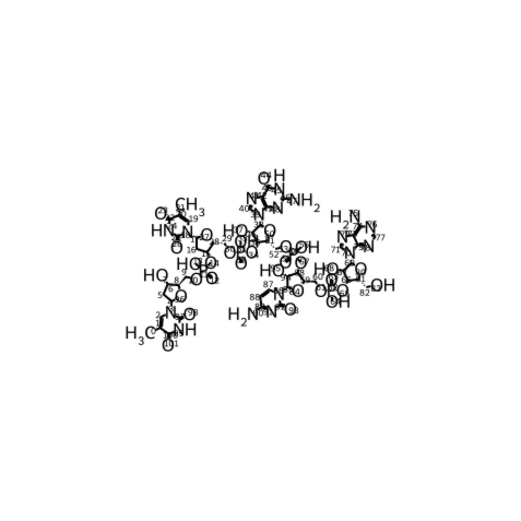 Cc1cn([C@H]2CC(O)[C@@H](COP(=O)(O)OC3C[C@H](n4cc(C)c(=O)[nH]c4=O)O[C@@H]3COP(=O)(O)O[C@@H]3[C@H](O)[C@H](n4cnc5c(=O)[nH]c(N)nc54)O[C@@H]3COP(=O)(O)OC3[C@@H](COP(=O)(O)OC4C(O)[C@H](n5cnc6c(N)ncnc65)O[C@@H]4CO)O[C@@H](n4ccc(N)nc4=O)[C@H]3O)O2)c(=O)[nH]c1=O